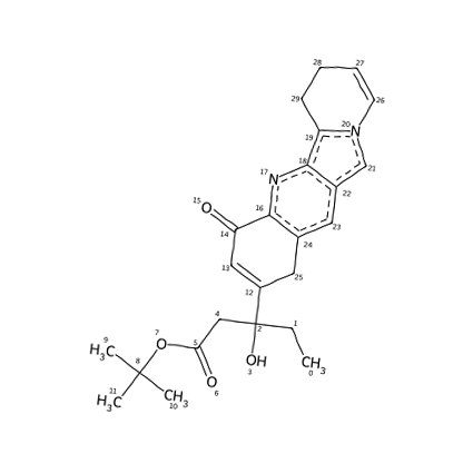 CCC(O)(CC(=O)OC(C)(C)C)C1=CC(=O)c2nc3c4n(cc3cc2C1)C=CCC4